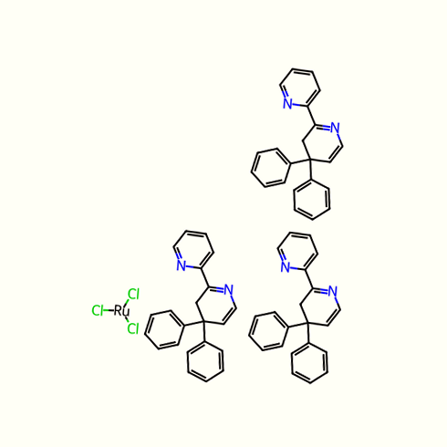 C1=CC(c2ccccc2)(c2ccccc2)CC(c2ccccn2)=N1.C1=CC(c2ccccc2)(c2ccccc2)CC(c2ccccn2)=N1.C1=CC(c2ccccc2)(c2ccccc2)CC(c2ccccn2)=N1.[Cl][Ru]([Cl])[Cl]